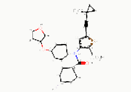 O=C(O)c1sc(C#CC2(C(F)(F)F)CC2)cc1N(C(=O)[C@H]1CC[C@H](I)CC1)[C@H]1CC[C@H](OC2CCOC2)CC1